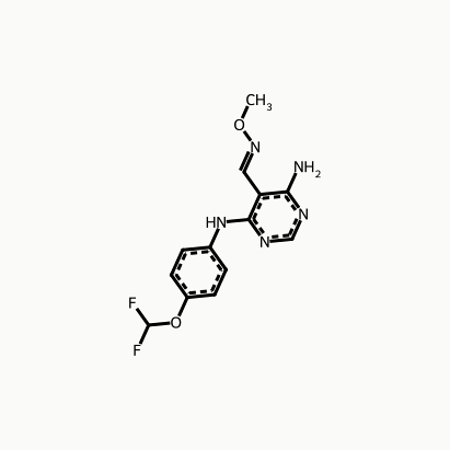 CON=Cc1c(N)ncnc1Nc1ccc(OC(F)F)cc1